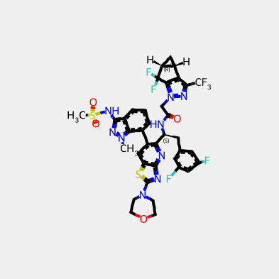 Cn1nc(NS(C)(=O)=O)c2cccc(-c3cc4sc(N5CCOCC5)nc4nc3[C@H](Cc3cc(F)cc(F)c3)NC(=O)Cn3nc(C(F)(F)F)c4c3C(F)(F)[C@@H]3C[C@H]43)c21